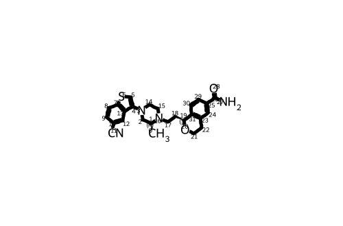 C[C@@H]1CN(c2csc3ccc(C#N)cc23)CCN1CC[C@@H]1OCCc2cc(C(N)=O)ccc21